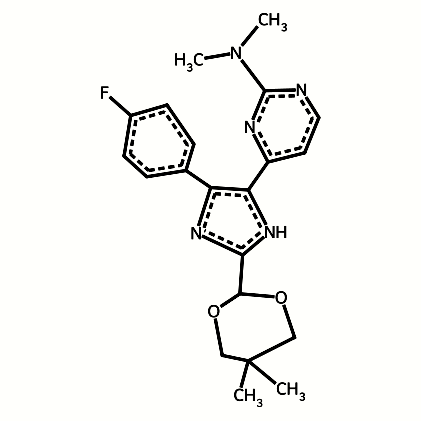 CN(C)c1nccc(-c2[nH]c(C3OCC(C)(C)CO3)nc2-c2ccc(F)cc2)n1